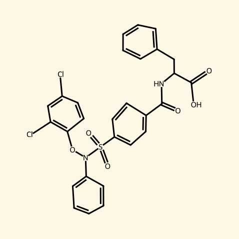 O=C(NC(Cc1ccccc1)C(=O)O)c1ccc(S(=O)(=O)N(Oc2ccc(Cl)cc2Cl)c2ccccc2)cc1